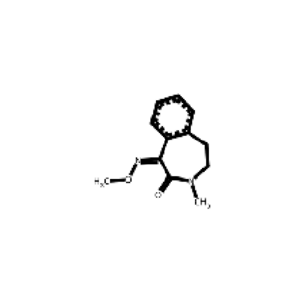 CON=C1C(=O)N(C)CCc2ccccc21